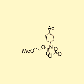 COCCOC(=O)N(OC(=O)Cl)c1ccc(C(C)=O)cc1